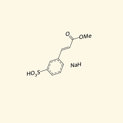 COC(=O)/C=C/c1cccc(S(=O)(=O)O)c1.[NaH]